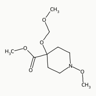 COCOC1(C(=O)OC)CCN(OC)CC1